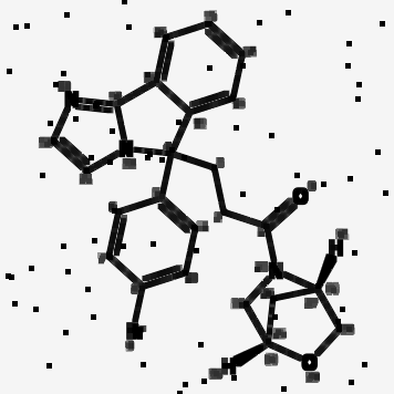 O=C(CCC1(c2ccc(Br)cc2)c2ccccc2-c2nccn21)N1C[C@@H]2C[C@H]1CO2